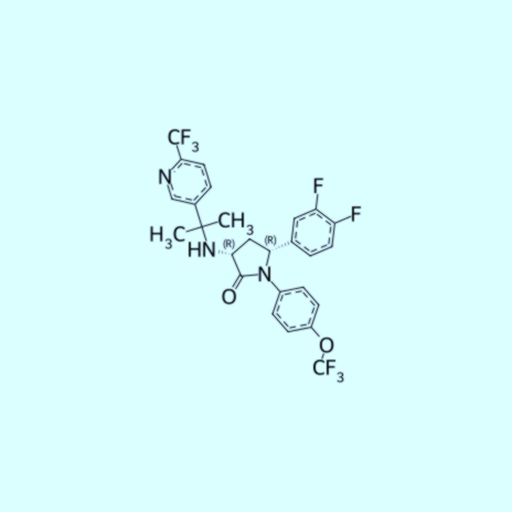 CC(C)(N[C@@H]1C[C@H](c2ccc(F)c(F)c2)N(c2ccc(OC(F)(F)F)cc2)C1=O)c1ccc(C(F)(F)F)nc1